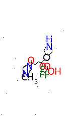 CN1C=CN(C(=O)CCC(=O)c2ccc3c(c2)CCNCC3)C=CC1.O=C(O)C(F)(F)F